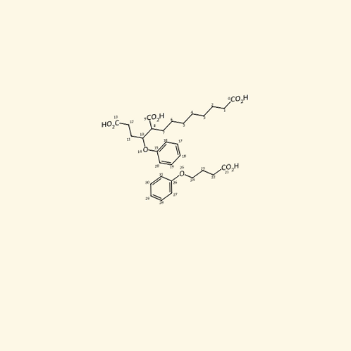 O=C(O)CCCCCCCC(C(=O)O)C(CCC(=O)O)Oc1ccccc1.O=C(O)CCCOc1ccccc1